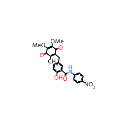 COC1=C(OC)C(=O)C(Cc2ccc(O)c(C(=O)Nc3ccc([N+](=O)[O-])cc3)c2)=C(C)C1=O